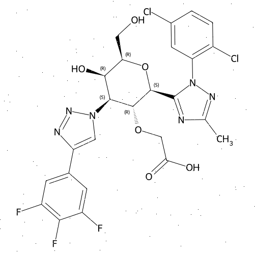 Cc1nc([C@@H]2O[C@H](CO)[C@H](O)[C@H](n3cc(-c4cc(F)c(F)c(F)c4)nn3)[C@H]2OCC(=O)O)n(-c2cc(Cl)ccc2Cl)n1